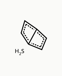 S.c1cc2ccc1-2